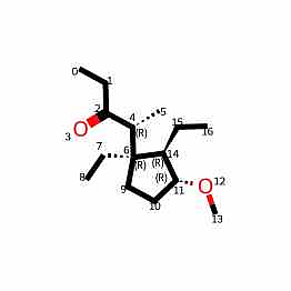 CCC(=O)[C@H](C)[C@]1(CC)CC[C@@H](OC)[C@@H]1CC